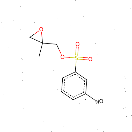 CC1(COS(=O)(=O)c2cccc(N=O)c2)CO1